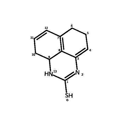 SC1=NC2=CCCC3=C2C(CC=C3)N1